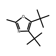 Cc1nc(C(C)(C)C)c(C(C)(C)C)o1